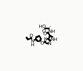 C=CC(=O)Nc1cccc(Oc2cnc3[nH]cc(C(=O)N[C@@H](C)C(=O)O)c3n2)c1